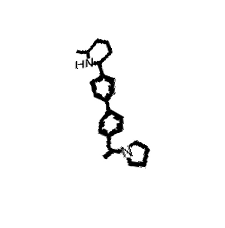 CC1CCCC(c2ccc(-c3ccc(C(C)N4CCCC4)cc3)cc2)N1